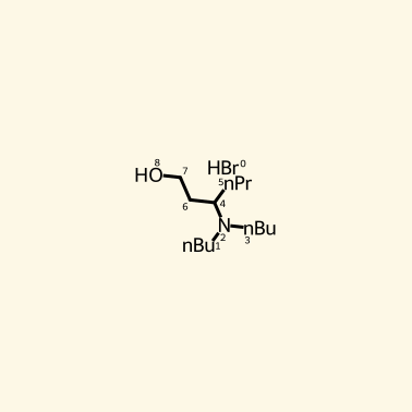 Br.CCCCN(CCCC)C(CCC)CCO